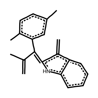 C=C(C)/C(c1cc(C)ccc1C)=c1\[nH]c2ccccc2c1=C